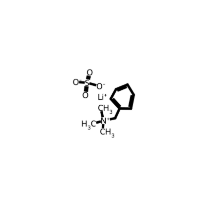 C[N+](C)(C)Cc1ccccc1.O=S(=O)([O-])[O-].[Li+]